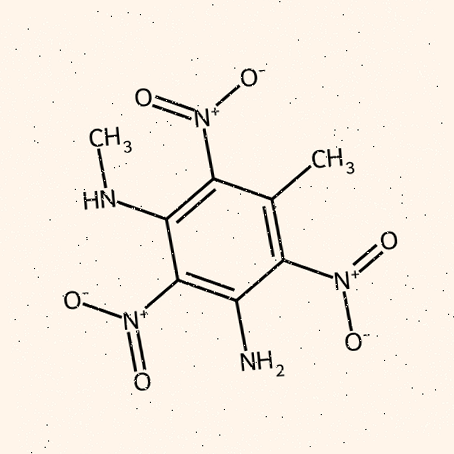 CNc1c([N+](=O)[O-])c(C)c([N+](=O)[O-])c(N)c1[N+](=O)[O-]